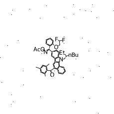 CCCCC(CC)Cn1c2ccc(/C(=N/OC(C)=O)c3ccccc3OCC(F)F)cc2c2cc(C(=O)c3c(C)cc(C)cc3C)c3ccccc3c21